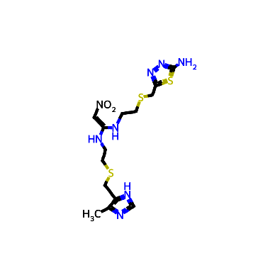 Cc1nc[nH]c1CSCCNC(=C[N+](=O)[O-])NCCSCc1nnc(N)s1